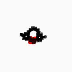 Cc1ccc2c(c1)CCCCCCc1cc(C)ccc1OS(=O)(=O)O2